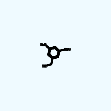 COc1cc(CC#N)cc(OCC(C)C)c1